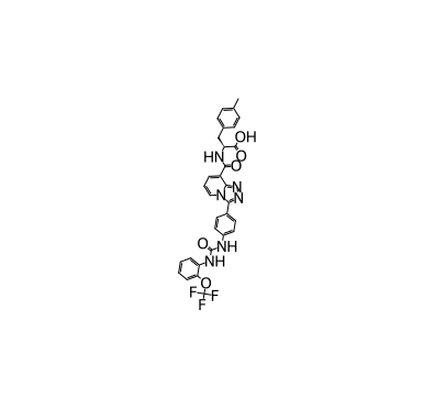 Cc1ccc(C[C@H](NC(=O)c2cccn3c(-c4ccc(NC(=O)Nc5ccccc5OC(F)(F)F)cc4)nnc23)C(=O)O)cc1